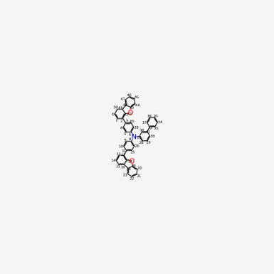 C1=CC(c2ccc(N(c3ccc(-c4cccc5c4oc4ccccc45)cc3)c3cccc(-c4ccccc4)c3)cc2)=C2Oc3ccccc3C2C1